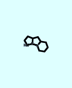 C1CCN2C(C1)CC1CCNN12